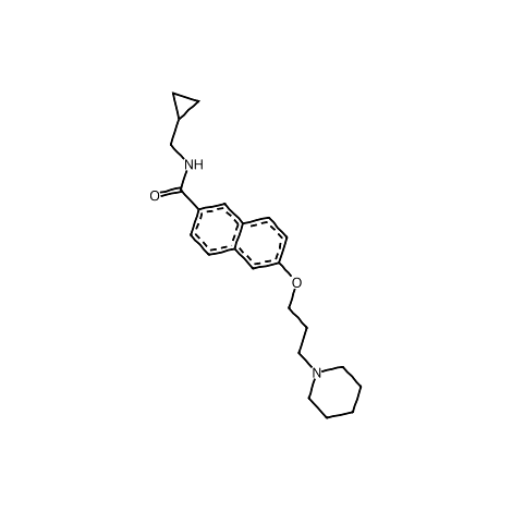 O=C(NCC1CC1)c1ccc2cc(OCCCN3CCCCC3)ccc2c1